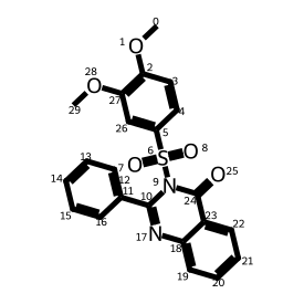 COc1ccc(S(=O)(=O)n2c(-c3ccccc3)nc3ccccc3c2=O)cc1OC